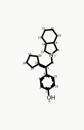 Oc1ccc(C(CN2CC3CCCCC3C2)=C2CCCC2)cc1